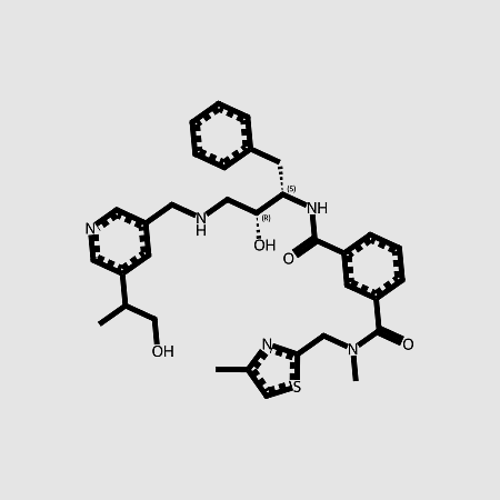 Cc1csc(CN(C)C(=O)c2cccc(C(=O)N[C@@H](Cc3ccccc3)[C@H](O)CNCc3cncc(C(C)CO)c3)c2)n1